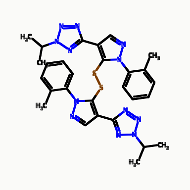 Cc1ccccc1-n1ncc(-c2nnn(C(C)C)n2)c1SSc1c(-c2nnn(C(C)C)n2)cnn1-c1ccccc1C